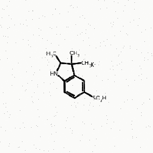 CC1Nc2ccc(S(=O)(=O)O)cc2C1(C)C.[K]